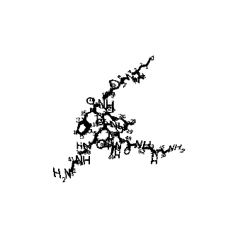 CCCc1cn(CCOCCNC(=O)[C@H](Cc2ccccc2)NC(=O)[C@@H](CC(C)C)NC(=O)[C@H](CC(=O)NCCNCCN)NC(=O)[C@@H](CC(=O)NCCNCCN)NC(C)=O)nn1